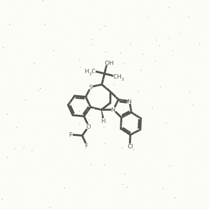 CC(C)(O)C1Sc2cccc(OC(F)F)c2[C@@H]2CC1c1nc3ccc(Cl)cc3n12